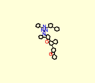 c1ccc(-c2cccc(-c3nc(-c4ccccc4)nc(-n4c5ccccc5c5c6oc7cc(-c8ccc9c(c8)oc8ccccc89)c8ccccc8c7c6ccc54)n3)c2)cc1